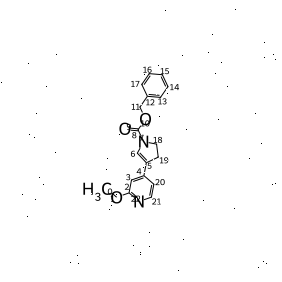 COc1cc(C2=CN(C(=O)OCc3ccccc3)CC2)ccn1